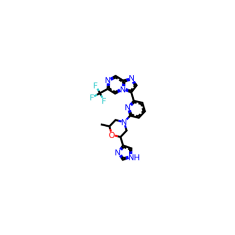 CC1CN(c2cccc(-c3cnc4cnc(C(F)(F)F)cn34)n2)CC(c2c[nH]cn2)O1